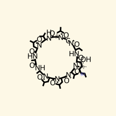 C/C=C/C[C@@H](C)[C@@H](O)C1C(=O)NC(CC)C(=O)N(C)CC(=O)N(C)[C@@H](CC(C)C)C(=O)NC(C(C)C)C(=O)N(C)C(CC(C)C)C(=O)NC(C)C(=O)NC(C)C(=O)N(C)C(CC(C)C)C(=O)N(C)C(CC(C)C)C(=O)N(C)C(C(C)C)C(=O)N1C